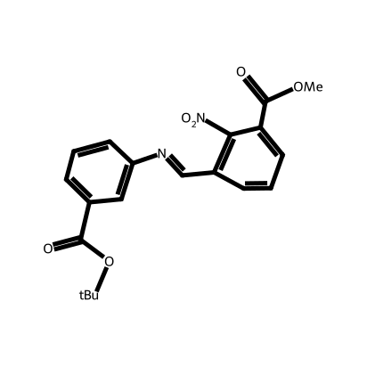 COC(=O)c1cccc(C=Nc2cccc(C(=O)OC(C)(C)C)c2)c1[N+](=O)[O-]